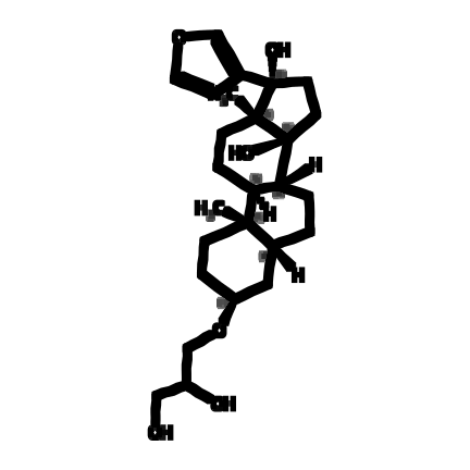 C[C@]12CC[C@H](OCC(O)CO)C[C@H]1CC[C@@H]1[C@@H]2CC[C@]2(C)[C@@](O)(c3ccoc3)CC[C@]12O